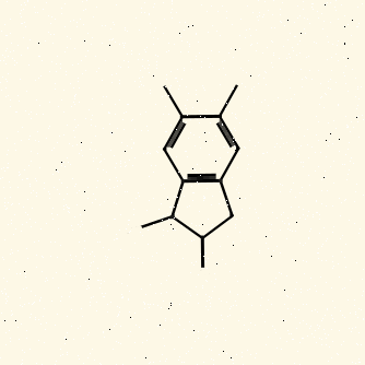 Cc1cc2c(cc1C)C(Br)C(Br)C2